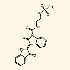 CS(=O)(=O)NCCNC(=O)N1C(=O)/C(=C2\Nc3ccccc3C2=O)c2ccccc21